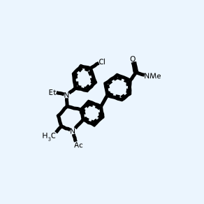 CCN(c1ccc(Cl)cc1)C1CC(C)N(C(C)=O)c2ccc(-c3ccc(C(=O)NC)cc3)cc21